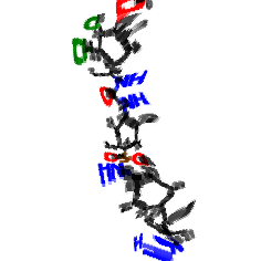 COc1ccc(C(C)NC(=O)Nc2ccc(S(=O)(=O)Nc3ccc(CC(C)(C)N)cc3)cc2)c(Cl)c1Cl